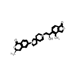 Cc1c([C@@H](O)CN2CCC3(CC2)CCN(c2ccc4c(c2)C[C@@H](C)OC4=O)C3)ccc2c1COC2=O